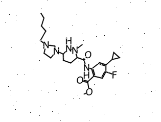 CCCCCN1CCN(C2CCC(C(=O)Nc3cc(C4CC4)c(F)cc3C(=O)OC)N(C)N2)C1